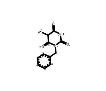 CC(C)C1C(=O)NC(=O)N(Cc2ccccc2)C1=O